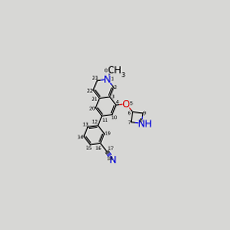 CN1C=c2c(OC3CNC3)cc(-c3cccc(C#N)c3)cc2=CC1